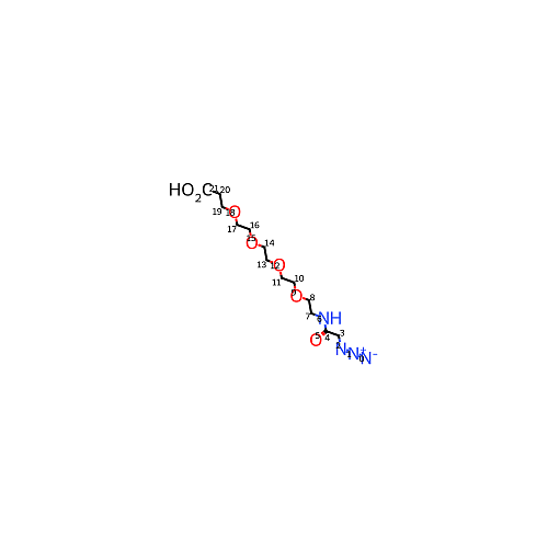 [N-]=[N+]=NCC(=O)NCCOCCOCCOCCOCCC(=O)O